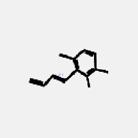 C=C/C=C/c1c(C)ccc(C)c1C